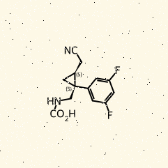 N#CC[C@@H]1C[C@@]1(CNC(=O)O)c1cc(F)cc(F)c1